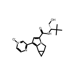 CC(C)(C)[C@@H](CO)NC(=O)c1cc(-c2c[n+]([O-])ccn2)c2n1CC1CC21